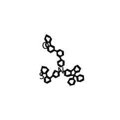 c1ccc(C2(c3ccccc3)c3ccccc3-c3cc(N(c4ccc(-c5cccc(-c6ccc7oc8ccccc8c7c6)c5)cc4)c4ccc(-c5cccc6sc7ccccc7c56)cc4)ccc32)cc1